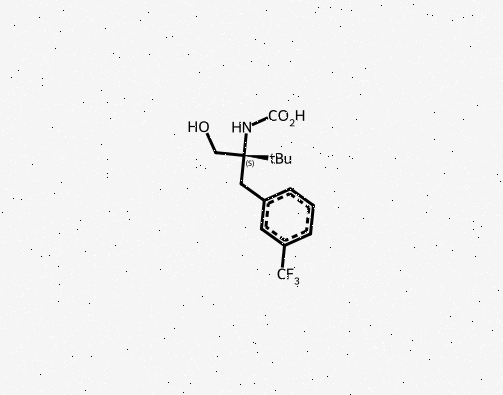 CC(C)(C)[C@](CO)(Cc1cccc(C(F)(F)F)c1)NC(=O)O